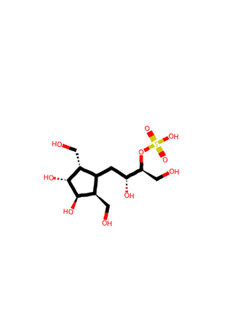 O=S(=O)(O)O[C@@H](CO)[C@H](O)CC1[C@@H](CO)[C@@H](O)[C@H](O)[C@@H]1CO